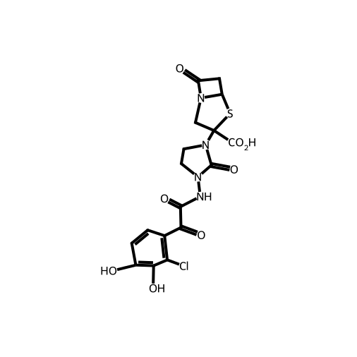 O=C(NN1CCN(C2(C(=O)O)CN3C(=O)CC3S2)C1=O)C(=O)c1ccc(O)c(O)c1Cl